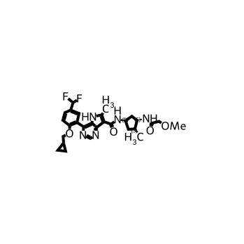 COCC(=O)N[C@H]1C[C@H](NC(=O)c2c(C)[nH]c3c(-c4cc(C(F)F)ccc4OCC4CC4)ncnc23)C[C@@H]1C